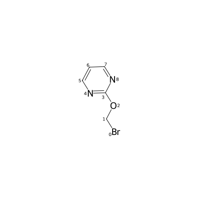 BrCOc1ncccn1